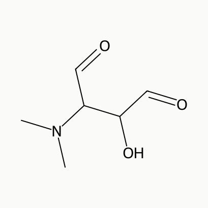 CN(C)C(C=O)C(O)C=O